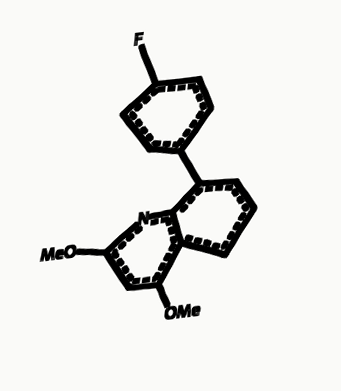 COc1cc(OC)c2cccc(-c3ccc(F)cc3)c2n1